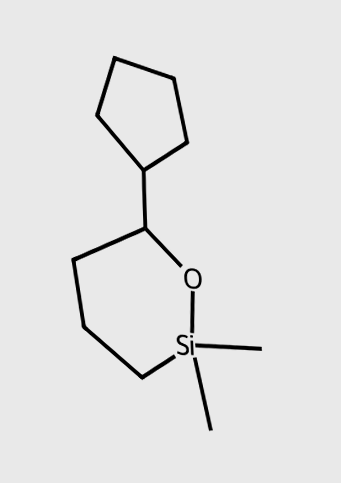 C[Si]1(C)CCCC(C2CCCC2)O1